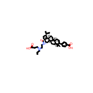 C=C(C)[C@@H]1CC[C@]2(C(=O)NCCN(CCC)CCC(=O)O)CC[C@]3(C)[C@H](CC[C@@H]4[C@@]5(C)CC=C(c6ccc(C(=O)O)cc6)C(C)(C)[C@@H]5CC[C@]43C)[C@@H]12